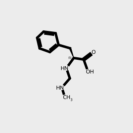 CNCN[C@@H](Cc1ccccc1)C(=O)O